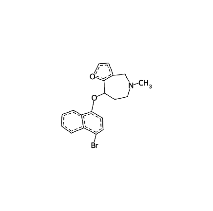 CN1CCC(Oc2ccc(Br)c3ccccc23)c2occc2C1